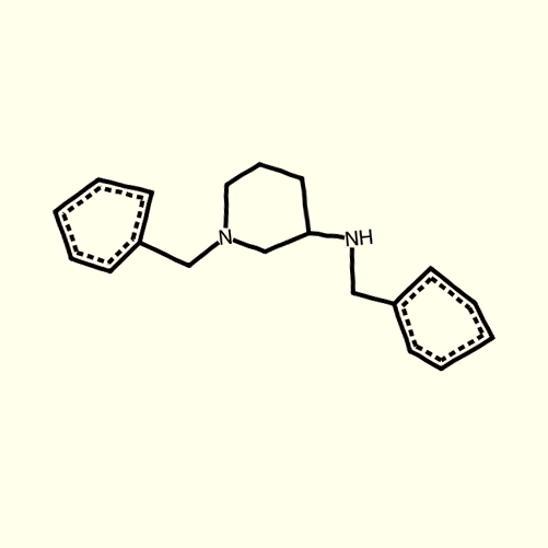 c1ccc(CNC2CCCN(Cc3ccccc3)C2)cc1